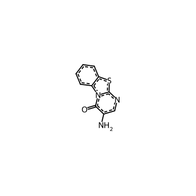 Nc1cnc2sc3ccccc3n2c1=O